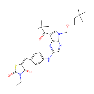 CCN1C(=O)S/C(=C/c2ccc(Nc3cnc4c(n3)c(C(=O)C(C)(C)C)cn4COCC[Si](C)(C)C)cc2)C1=O